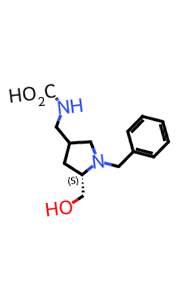 O=C(O)NCC1C[C@@H](CO)N(Cc2ccccc2)C1